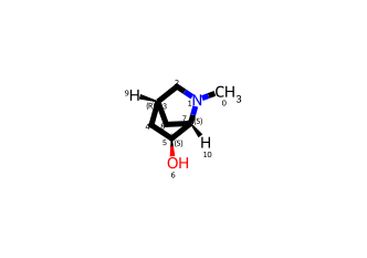 CN1C[C@H]2C[C@H](O)[C@@H]1C2